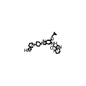 O=C(Nc1cc2cn(C3CCC(N4CCCC5(CNC5)C4)CC3)nc2cc1OCC1CC1)c1cnn2cccnc12